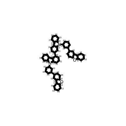 c1cc(-c2ccc3oc4ccccc4c3c2)cc(-n2c3ccccc3c3ccc(-c4cccc5c4c4ccccc4n5-c4cccc(-c5ccc6oc7ccccc7c6c5)c4)cc32)c1